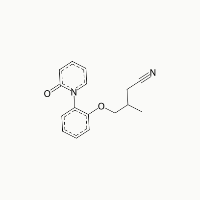 CC(CC#N)COc1ccccc1-n1ccccc1=O